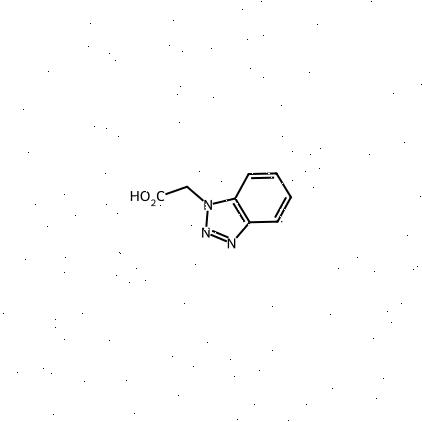 O=C(O)Cn1nnc2[c]cccc21